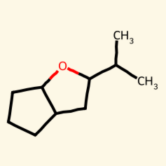 CC(C)C1CC2CCCC2O1